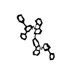 C1=CC2C3C=CC(C4=CC5C(C=C4)c4ccccc4N5c4cc(-c5ccccc5)cc(-c5ccccc5)c4)=CC3N(C3C=C(c4ccccc4)C=CC3)C2C=C1